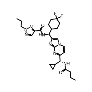 CCCC(=O)N[C@@H](c1ccn2cc([C@@H](NC(=O)c3cnn(CCC)n3)C3CCC(F)(F)CC3)nc2n1)C1CC1